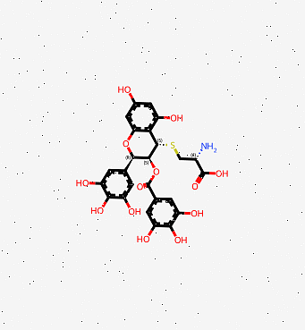 N[C@@H](CS[C@H]1c2c(O)cc(O)cc2O[C@H](c2cc(O)c(O)c(O)c2)[C@@H]1OC(=O)c1cc(O)c(O)c(O)c1)C(=O)O